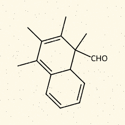 CC1=C2C=CC=CC2C(C)(C=O)C(C)=C1C